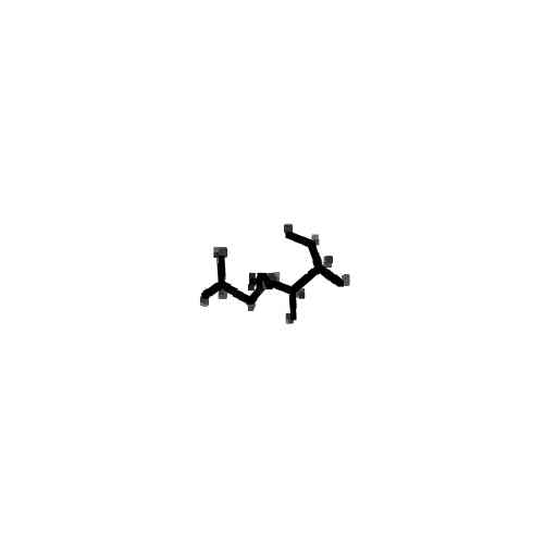 CCC(C)C(C)NCC(C)C